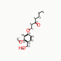 CCCCC(=O)CCOc1ccc(CO)c(OC)c1